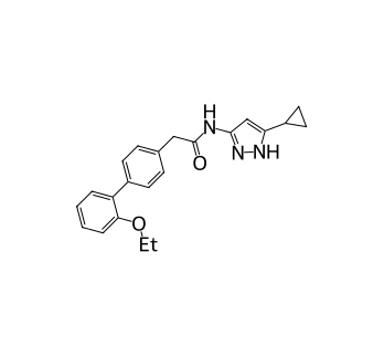 CCOc1ccccc1-c1ccc(CC(=O)Nc2cc(C3CC3)[nH]n2)cc1